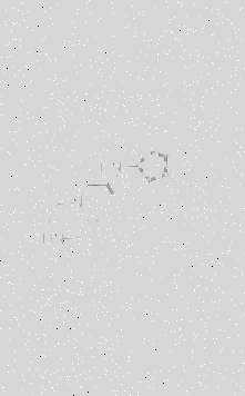 Cc1csc(NC(=O)CN2CCNCC2)c1